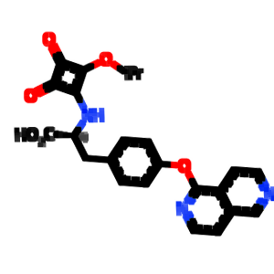 CC(C)Oc1c(N[C@@H](Cc2ccc(Oc3nccc4cnccc34)cc2)C(=O)O)c(=O)c1=O